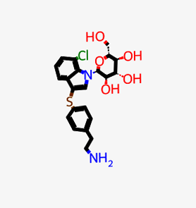 NCCc1ccc(Sc2cn([C@@H]3O[C@H](CO)[C@@H](O)[C@H](O)[C@H]3O)c3c(Cl)cccc23)cc1